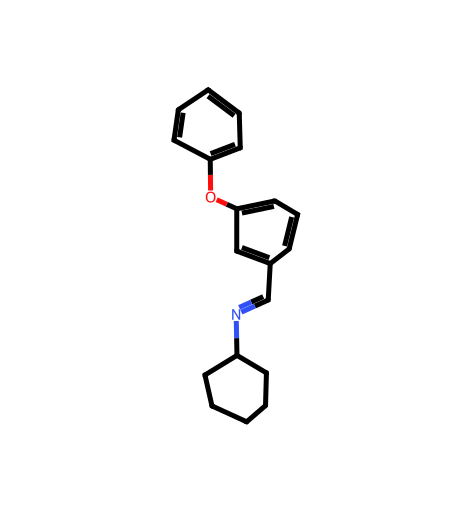 C(=NC1CCCCC1)c1cccc(Oc2ccccc2)c1